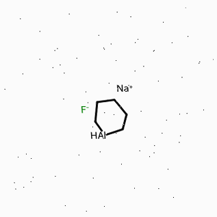 C1C[CH2][AlH][CH2]C1.[F-].[Na+]